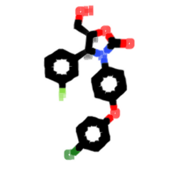 O=C1O[C@H](CO)[C@H](c2cccc(F)c2)N1c1ccc(Oc2ccc(Cl)cc2)cc1